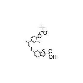 Cc1cc(C(C)CCCc2ccc3cc(C(=O)O)sc3c2)ccc1OCC(=O)C(C)(C)C